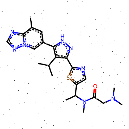 Cc1cc(-c2[nH]nc(-c3ncc(C(C)N(C)C(=O)CN(C)C)s3)c2C(C)C)cn2ncnc12